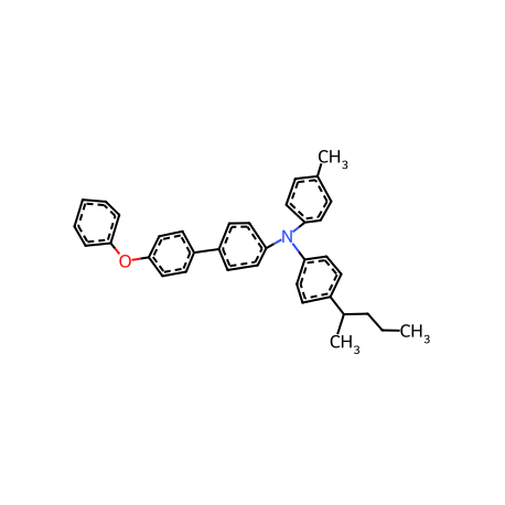 CCCC(C)c1ccc(N(c2ccc(C)cc2)c2ccc(-c3ccc(Oc4ccccc4)cc3)cc2)cc1